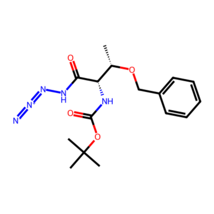 C[C@H](OCc1ccccc1)[C@H](NC(=O)OC(C)(C)C)C(=O)NN=[N+]=[N-]